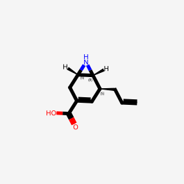 C=CC[C@H]1C=C(C(=O)O)C[C@@H]2N[C@H]12